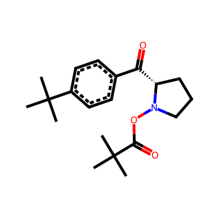 CC(C)(C)C(=O)ON1CCC[C@H]1C(=O)c1ccc(C(C)(C)C)cc1